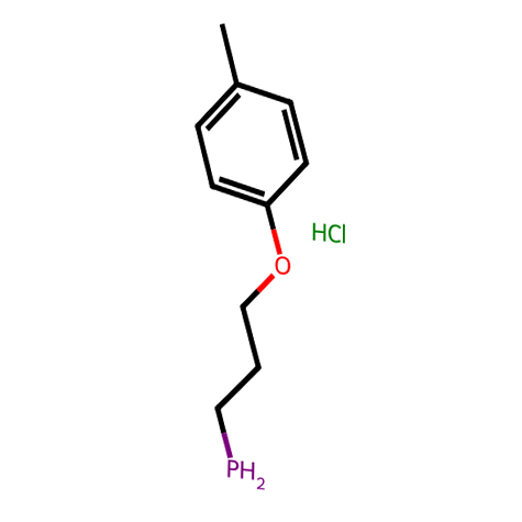 Cc1ccc(OCCCP)cc1.Cl